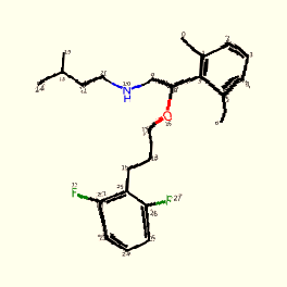 Cc1cccc(C)c1C(CNCCC(C)C)OCCCc1c(F)cccc1F